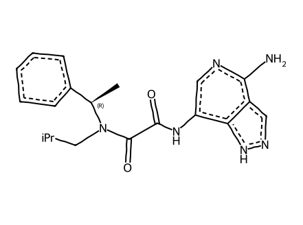 CC(C)CN(C(=O)C(=O)Nc1cnc(N)c2cn[nH]c12)[C@H](C)c1ccccc1